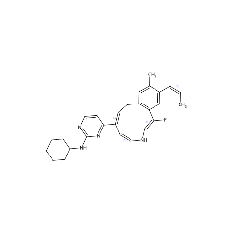 C/C=C\c1cc2c(cc1C)C/C=C(c1ccnc(NC3CCCCC3)n1)\C=C/N/C=C/2F